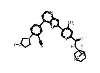 Cc1cc(C(=O)N[C@@H]2CN3CCC2CC3)ncc1-c1cc2nccc(-c3ccc(N4CC[C@@H](F)C4)c(C#N)c3)c2o1